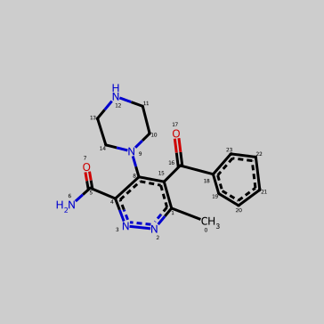 Cc1nnc(C(N)=O)c(N2CCNCC2)c1C(=O)c1ccccc1